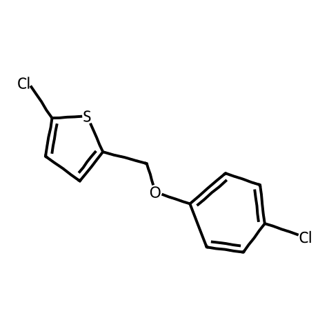 Clc1ccc(OCc2ccc(Cl)s2)cc1